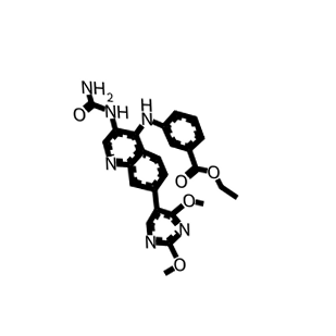 CCOC(=O)c1cccc(Nc2c(NC(N)=O)cnc3cc(-c4cnc(OC)nc4OC)ccc23)c1